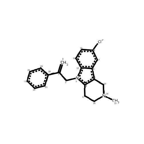 C=C(Cn1c2c(c3cc(Cl)ccc31)CN(C)CC2)c1ccccc1